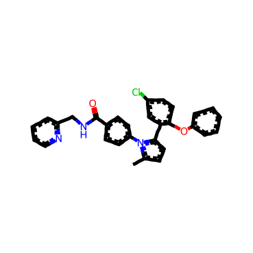 Cc1ccc(-c2cc(Cl)ccc2Oc2ccccc2)n1-c1ccc(C(=O)NCc2ccccn2)cc1